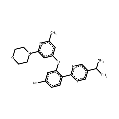 Cc1cc(Oc2cc(C#N)ccc2-c2ncc(C(C)N)cn2)cc(N2CCOCC2)n1